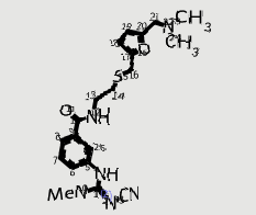 CN/C(=N/C#N)Nc1cccc(C(=O)NCCSCc2ccc(CN(C)C)o2)c1